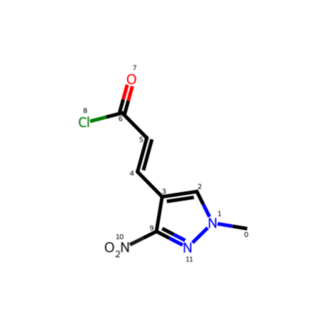 Cn1cc(C=CC(=O)Cl)c([N+](=O)[O-])n1